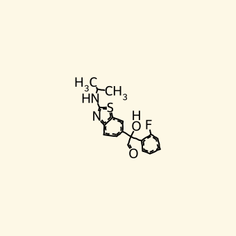 CC(C)Nc1nc2ccc(C(O)(C=O)c3ccccc3F)cc2s1